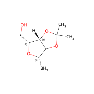 B[C@@H]1O[C@H](CO)[C@@H]2OC(C)(C)OC12